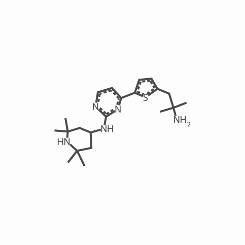 CC(C)(N)Cc1ccc(-c2ccnc(NC3CC(C)(C)NC(C)(C)C3)n2)s1